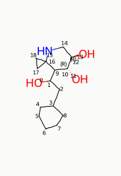 OC(CC1CCCCC1)C1[C@@H](O)[C@H](O)CNC12CC2